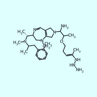 C/C(=C\CCOC(C)C(N)N1CC2=C(C1)N(C)CC([C@@H](C)N(C)C(C)Cc1ccccc1C)N=C2)NNN